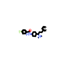 CN(C)C(CCc1ccccc1)C1CCC(NC(=O)c2ccc(F)cc2)CC1